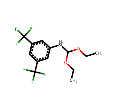 CCOC(OCC)[SiH2]c1cc(C(F)(F)F)cc(C(F)(F)F)c1